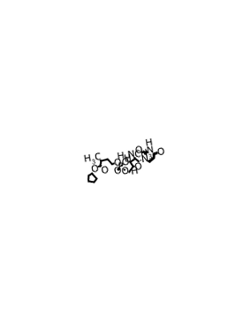 CC(CCOP1(=O)OC[C@H]2O[C@@H](n3ccc(=O)[nH]c3=O)[C@](C)(N)[C@@H]2O1)C(=O)OC1CCCC1